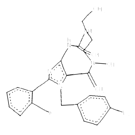 C=C(C)Nc1nc(-c2ccccc2F)n(Cc2ccc(F)cc2)c1C(=C)N(C)CCCC